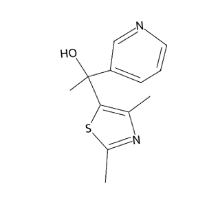 Cc1nc(C)c(C(C)(O)c2cccnc2)s1